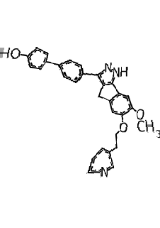 COc1cc2c(cc1OCCc1cccnc1)Cc1c(-c3ccc(-c4ccc(O)cc4)cc3)n[nH]c1-2